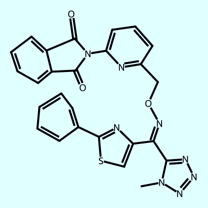 Cn1nnnc1/C(=N/OCc1cccc(N2C(=O)c3ccccc3C2=O)n1)c1csc(-c2ccccc2)n1